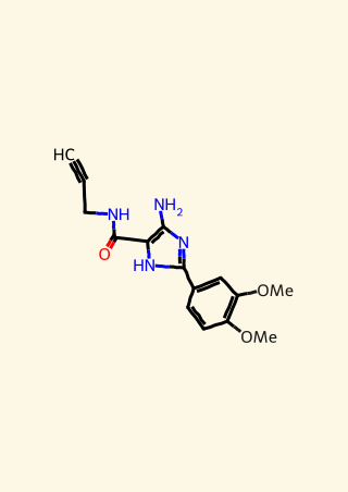 C#CCNC(=O)c1[nH]c(-c2ccc(OC)c(OC)c2)nc1N